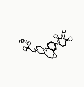 CC(C)(C)OC(=O)CN1CCN2c3ccc(N4CCC(=O)NC4=O)cc3OCCC2C1